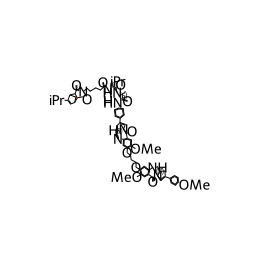 COc1ccc(C2=CN3C(=O)c4cc(OC)c(OCCCOc5cc6c(cc5OC)C(=O)N5C=C(c7ccc(NC(=O)[C@H](C)NC(=O)[C@@H](NC(=O)CCCCN8C(=O)C9C%10C=C(C(C)C)C(C%10)C9C8=O)C(C)C)cc7)C[C@H]5C=N6)cc4N=C[C@@H]3C2)cc1